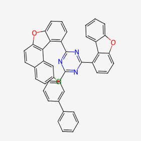 Clc1ccc2ccc3oc4cccc(-c5nc(-c6cccc(-c7ccccc7)c6)nc(-c6cccc7oc8ccccc8c67)n5)c4c3c2c1